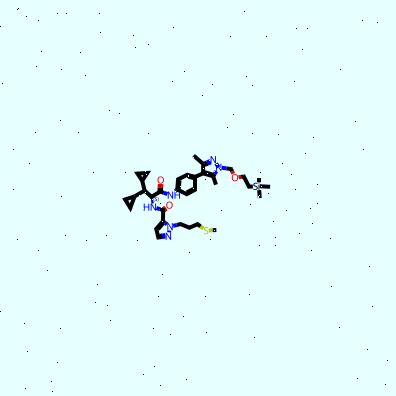 CSCCCn1nccc1C(=O)N[C@H](C(=O)Nc1ccc(-c2c(C)nn(COCC[Si](C)(C)C)c2C)cc1)C(C1CC1)C1CC1